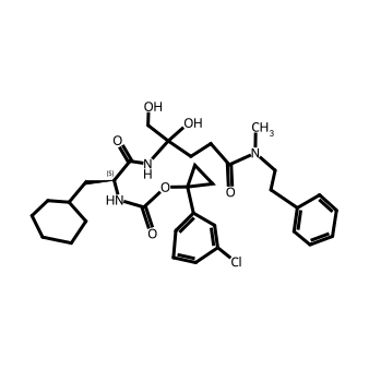 CN(CCc1ccccc1)C(=O)CCC(O)(CO)NC(=O)[C@H](CC1CCCCC1)NC(=O)OC1(c2cccc(Cl)c2)CC1